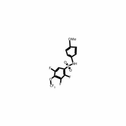 COc1ccc(NS(=O)(=O)c2cc(F)c(OC(F)(F)F)c(F)c2F)cc1